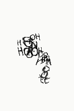 CCC(C)(C)Oc1ccc(C=NN(C)[PH](=S)Oc2ccc(CCN(CP(=O)(O)O)CP(=O)(O)O)cc2)cc1